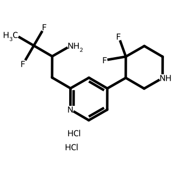 CC(F)(F)C(N)Cc1cc(C2CNCCC2(F)F)ccn1.Cl.Cl